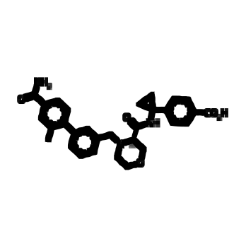 Cc1cc(C(N)=O)ccc1-c1cccc(CN2CCOC[C@@H]2C(=O)NC2(c3ccc(C(=O)O)cc3)CC2)c1